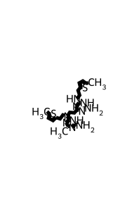 Cc1ccc(CCNC2=NC(CCN(CCc3ccc(C)s3)C3=NC(C)N=C(N)N3)N=C(N)N2)s1